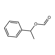 CC(OC=O)c1ccccc1